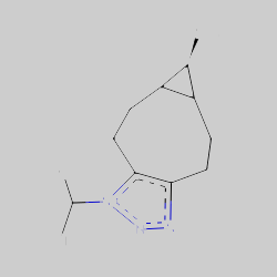 CC(C)n1nnc2c1CCC1C(CC2)[C@@H]1C